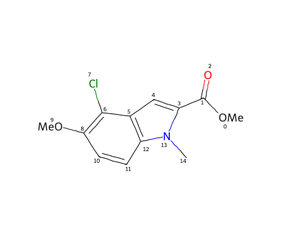 COC(=O)c1cc2c(Cl)c(OC)ccc2n1C